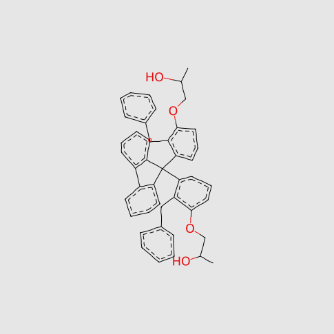 CC(O)COc1cccc(C2(c3cccc(OCC(C)O)c3Cc3ccccc3)c3ccccc3-c3ccccc32)c1Cc1ccccc1